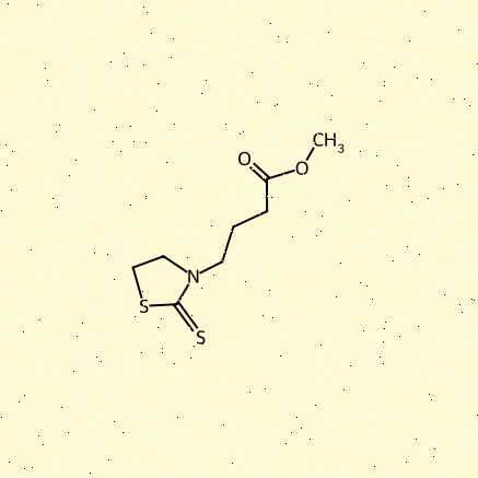 COC(=O)CCCN1CCSC1=S